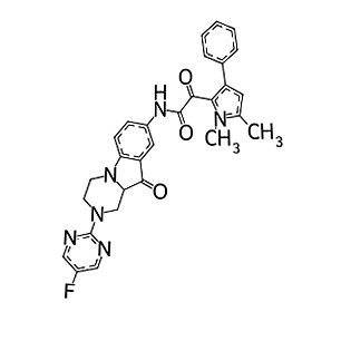 Cc1cc(-c2ccccc2)c(C(=O)C(=O)Nc2ccc3c(c2)C(=O)C2CN(c4ncc(F)cn4)CCN32)n1C